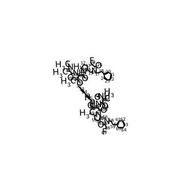 CN[C@@H](C)C(=O)N[C@H](C(=O)N1CCC[C@H]1CN(CCc1ccccc1)C(=O)CF)[C@@H](C)OCC#CC#CCO[C@H](C)[C@H](NC(=O)[C@H](C)NC)C(=O)N1CCC[C@H]1CN(CCc1ccccc1)C(=O)CF